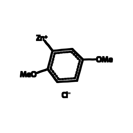 COc1ccc(OC)[c]([Zn+])c1.[Cl-]